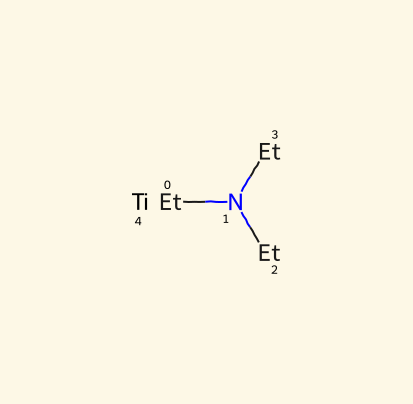 CCN(CC)CC.[Ti]